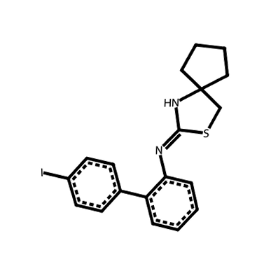 Ic1ccc(-c2ccccc2N=C2NC3(CCCC3)CS2)cc1